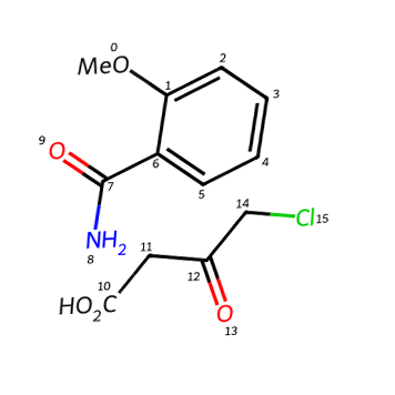 COc1ccccc1C(N)=O.O=C(O)CC(=O)CCl